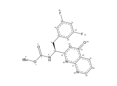 CC(C)(C)OC(=O)N[C@@H](Cc1cc(F)cc(F)c1)c1nc2ncccc2c(=O)o1